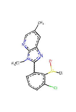 CC[S+]([O-])c1c(Cl)cccc1-c1nc2cc(C)cnc2n1C